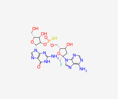 Nc1nc2c(ncn2[C@@H]2O[C@H](CO)C(O)C2OP(=O)(S)OC[C@H]2O[C@](CF)(n3cnc4c(N)ncnc43)CC2O)c(=O)[nH]1